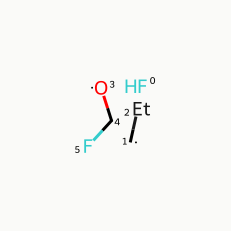 F.[CH2]CC.[O]CF